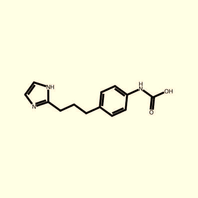 O=C(O)Nc1ccc(CCCc2ncc[nH]2)cc1